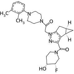 Cc1cccc(N2CCN(C(=O)Cn3nc(C(=O)N4CC[C@@H](O)[C@@H](F)C4)c4c3C[C@H]3C[C@@H]43)CC2)c1C